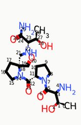 C[C@@H](O)C(N)C(=O)N1CCC[C@H]1C(=O)N1CCC[C@]1(C=O)CN[C@H](C(N)=O)[C@@H](C)O